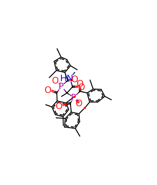 CNC(=O)C(C)(P(=O)(C(=O)c1c(C)cc(C)cc1C)C(=O)c1c(C)cc(C)cc1C)P(=O)(C(=O)c1c(C)cc(C)cc1C)C(=O)c1c(C)cc(C)cc1C